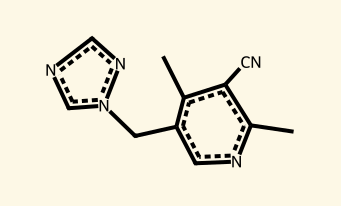 Cc1ncc(Cn2cncn2)c(C)c1C#N